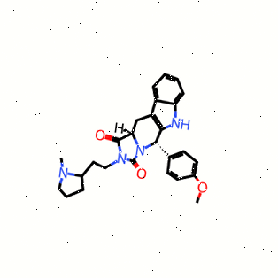 COc1ccc([C@H]2c3[nH]c4ccccc4c3C[C@H]3C(=O)N(CCC4CCCN4C)C(=O)N23)cc1